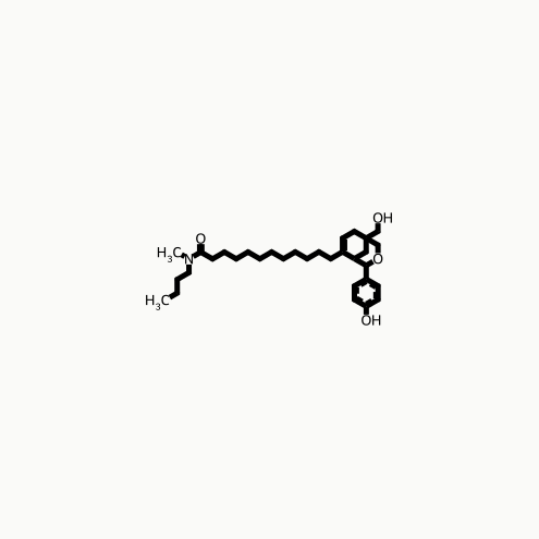 CCCCN(C)C(=O)CCCCCCCCCCCC1=CCC2(CO)COC(c3ccc(O)cc3)C1C2